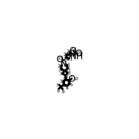 COc1ccc(C(C)(C)C)cc1C1CC2(CCN(C(=O)[C@H]3C[C@]4(COC(=O)N4)C3)CC2)C1